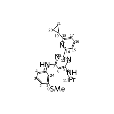 CSc1cccc(Nc2cc(NC(C)C)nc(-c3cccc(C4CC4)n3)n2)c1